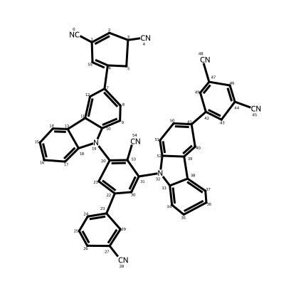 N#CC1=CC(C#N)CC(c2ccc3c(c2)c2ccccc2n3-c2cc(-c3cccc(C#N)c3)cc(-n3c4ccccc4c4cc(-c5cc(C#N)cc(C#N)c5)ccc43)c2C#N)=C1